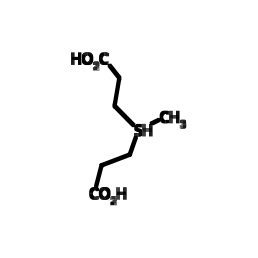 C[SH](CCC(=O)O)CCC(=O)O